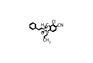 C=CCN(c1ccc(C#N)c(Cl)c1C)S(=O)(=O)/C=C/c1ccccc1